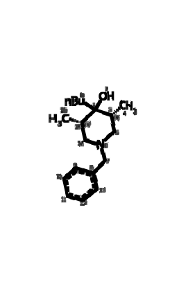 CCCCC1(O)[C@H](C)CN(Cc2ccccc2)C[C@@H]1C